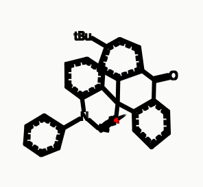 CC(C)(C)c1ccc2c(c1)C1(c3ccccc3C2=O)c2ccccc2N(c2ccccc2)c2ccccc21